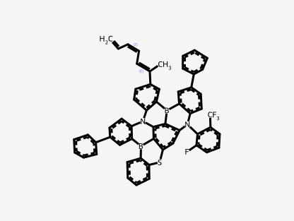 C=C/C=C\C=C(/C)c1ccc2c(c1)B1c3cc(-c4ccccc4)ccc3N(c3c(F)cccc3C(F)(F)F)c3cc4c5c(c31)N2c1ccc(-c2ccccc2)cc1B5c1ccccc1S4